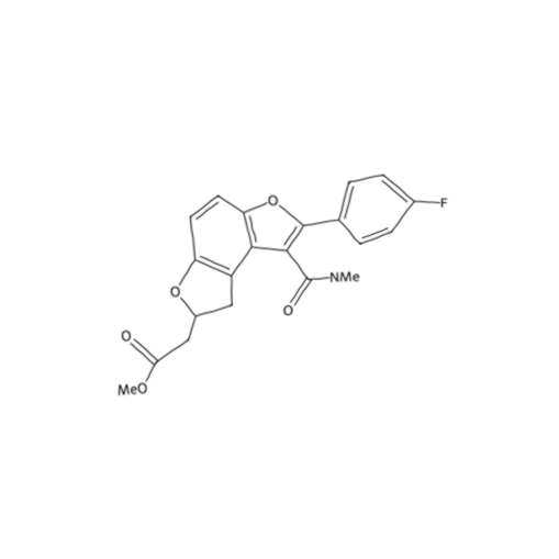 CNC(=O)c1c(-c2ccc(F)cc2)oc2ccc3c(c12)CC(CC(=O)OC)O3